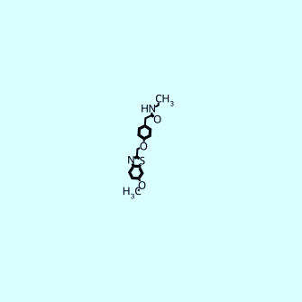 CCNC(=O)Cc1ccc(OCc2nc3ccc(OC)cc3s2)cc1